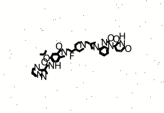 CC(C)Oc1cc2c(cc1NC(=O)c1cnn3cccnc13)CN(C[C@@H](F)C1CCN(CC3CN(c4cccc5c4n(C)c(=O)n5C4CCC(=O)NC4=O)C3)CC1)C2=O